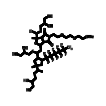 CCC(SCC(O)CO)C1(C)OC(CC(SCC(O)CO)C2CC(C)(C(C)SCC(O)CO)CC2C(F)(F)C(F)(F)C(F)(F)C(F)(F)C(F)(F)C(F)(F)F)C2C(=O)N(CCOCCOCCOC)C(=O)C21